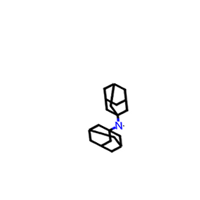 C1C2CC3CC1CC([N]C14CC5CC(CC(C5)C1)C4)(C2)C3